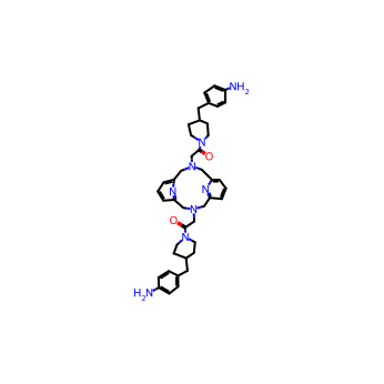 Nc1ccc(CC2CCN(C(=O)CN3Cc4cccc(n4)CN(CC(=O)N4CCC(Cc5ccc(N)cc5)CC4)Cc4cccc(n4)C3)CC2)cc1